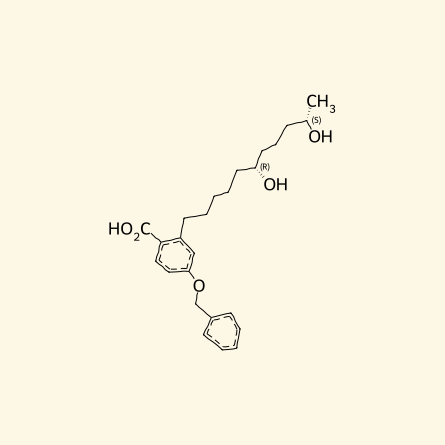 C[C@H](O)CCC[C@H](O)CCCCCc1cc(OCc2ccccc2)ccc1C(=O)O